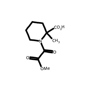 COC(=O)C(=O)N1CCCCC1(C)C(=O)O